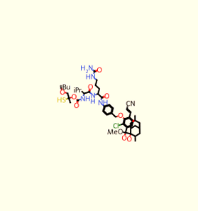 COC1(c2ccc(/C=C/C#N)c(OCc3ccc(NC(=O)C(CCCNC(N)=O)NC(=O)C(NC(=O)OC(C)(S)COC(C)(C)C)C(C)C)cc3)c2Cl)OOC12C(C)CC1CC(C)CC2C1